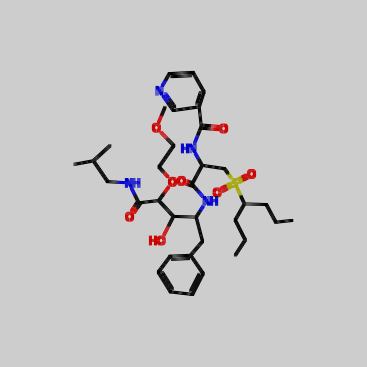 CCCC(CCC)S(=O)(=O)CC(NC(=O)c1cccnc1)C(=O)NC(Cc1ccccc1)C(O)C(OCCOC)C(=O)NCC(C)C